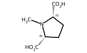 CN1[C@@H](C(=O)O)CC[C@H]1C(=O)O